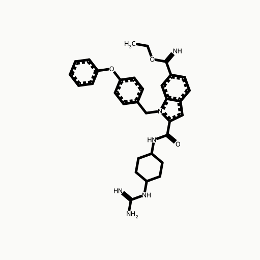 CCOC(=N)c1ccc2cc(C(=O)NC3CCC(NC(=N)N)CC3)n(Cc3ccc(Oc4ccccc4)cc3)c2c1